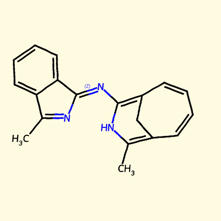 CC1=N/C(=N\C2=C3C=CC=CC(=C(C)N2)C3)c2ccccc21